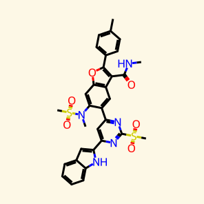 CNC(=O)c1c(-c2ccc(C)cc2)oc2cc(N(C)S(C)(=O)=O)c(-c3cc(-c4cc5ccccc5[nH]4)nc(S(C)(=O)=O)n3)cc12